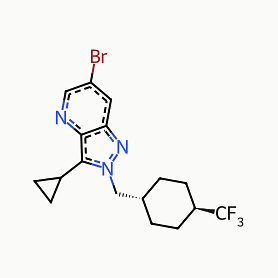 FC(F)(F)[C@H]1CC[C@H](Cn2nc3cc(Br)cnc3c2C2CC2)CC1